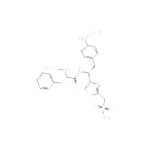 CC(C)(C)S(=O)(=O)Cc1nc([C@H](Cc2ccc(NS(=O)(=O)O)cc2)NC(=O)[C@H](Cc2ccccc2)NC(=O)O)cs1